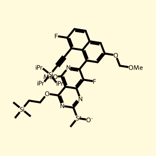 COCOc1cc(-c2nc(OC)c3c(OCC[Si](C)(C)C)nc([S+](C)[O-])nc3c2F)c2c(C#C[Si](C(C)C)(C(C)C)C(C)C)c(F)ccc2c1